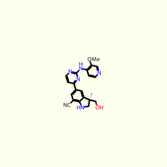 COc1cnccc1Nc1nccc(-c2cc(C#N)c3c(c2)[C@@](C)(CO)CN3)n1